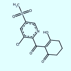 CS(=O)(=O)c1cnc(C(=O)C2=C(O)CCCC2=O)c(Cl)c1